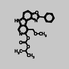 COCc1c(OC(=O)OC(C)C)ncc2[nH]c3ccc4oc(-c5ccccc5)nc4c3c12